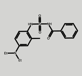 CCN(CC)c1ccc(NS(=O)(=O)NC(=O)c2ccccc2)c(C)c1